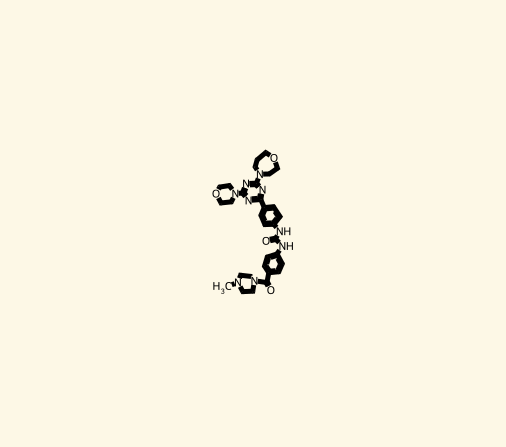 CN1CCN(C(=O)c2ccc(NC(=O)Nc3ccc(-c4nc(N5CCCOCC5)nc(N5CCOCC5)n4)cc3)cc2)CC1